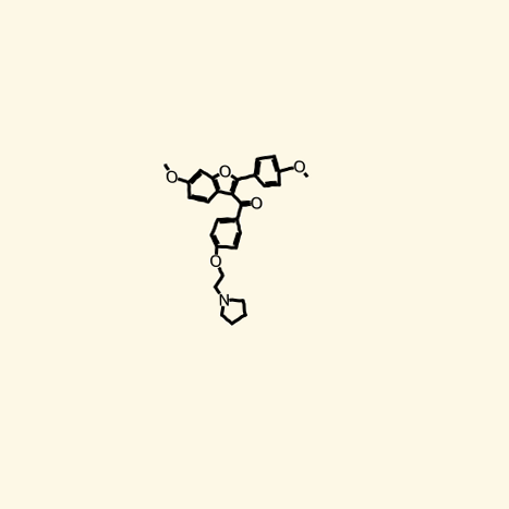 COc1ccc(-c2oc3cc(OC)ccc3c2C(=O)c2ccc(OCCN3CCCC3)cc2)cc1